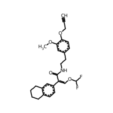 C#CCOc1ccc(CCNC(=O)C(=COC(F)F)c2ccc3c(c2)CCCC3)cc1OC